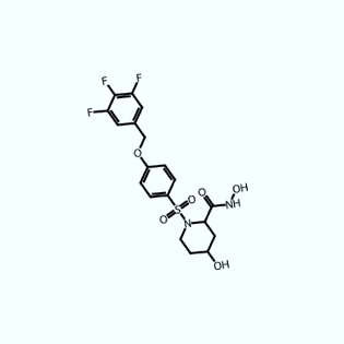 O=C(NO)C1CC(O)CCN1S(=O)(=O)c1ccc(OCc2cc(F)c(F)c(F)c2)cc1